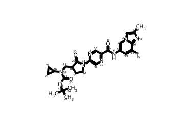 Cc1cn2cc(NC(=O)c3cnc(N4CCC(CN(C(=O)OC(C)(C)C)C5CC5)C4=O)cn3)cc(F)c2n1